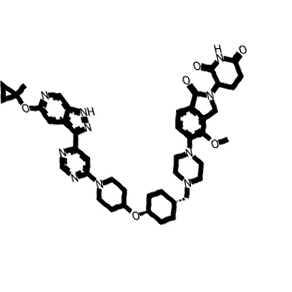 COc1c(N2CCN(C[C@H]3CC[C@H](OC4CCN(c5cc(-c6n[nH]c7cnc(OC8(C)CC8)cc67)ncn5)CC4)CC3)CC2)ccc2c1CN(C1CCC(=O)NC1=O)C2=O